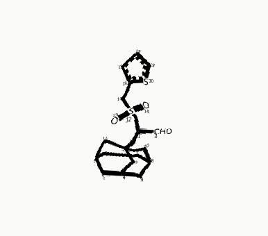 O=CC(C12CC3CC(CC(C3)C1)C2)S(=O)(=O)Cc1cccs1